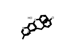 CC1=C2CCN(CCc3ccc(Cl)cc3)C23CC=C(Oc2ccccc2)C=C3N=C1.Cl